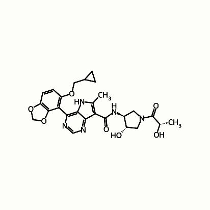 Cc1[nH]c2c(-c3c(OCC4CC4)ccc4c3OCO4)ncnc2c1C(=O)N[C@H]1CN(C(=O)[C@H](C)O)C[C@@H]1O